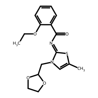 CCOc1ccccc1C(=O)N=c1sc(C)cn1CC1OCCO1